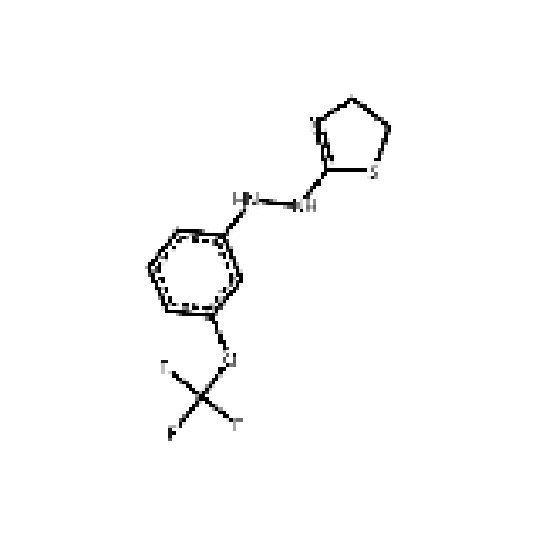 FC(F)(F)Oc1cccc(NNC2=NCCS2)c1